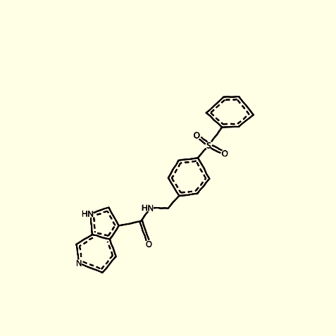 O=C(NCc1ccc(S(=O)(=O)c2ccccc2)cc1)c1c[nH]c2cnccc12